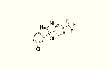 NC1=Nc2ccc(Cl)cc2C1(O)c1ccc(C(F)(F)F)cc1